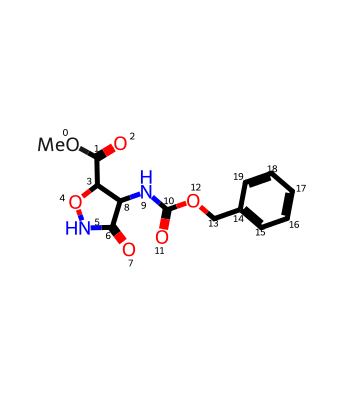 COC(=O)C1ONC(=O)C1NC(=O)OCc1ccccc1